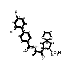 CC(NC(=O)c1ccc(-c2ccc(F)cc2F)cc1)C(=O)N1CC2(C[C@H]1C(=O)O)OCCO2